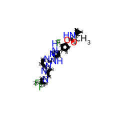 CC1(NC(=O)O[C@@H]2CC[C@H](c3cc(Nc4nccc5nc(CN6CC(F)(F)C6)cn45)n[nH]3)[C@@H]2F)CC1